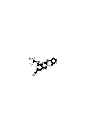 CC(C)Nc1nc(C#N)cc2cnc(NC3CCNC3=O)nc12